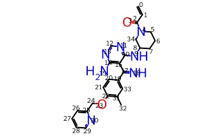 C=CC(=O)N1CCCC(Nc2ncnc(N)c2C(=N)c2ccc(OCc3ccccn3)c(C)c2)C1